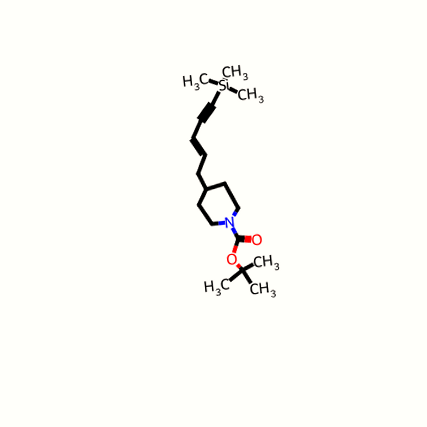 CC(C)(C)OC(=O)N1CCC(CC=CC#C[Si](C)(C)C)CC1